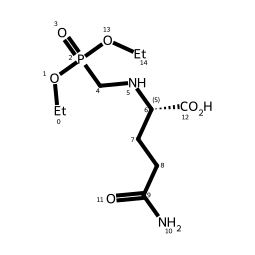 CCOP(=O)(CN[C@@H](CCC(N)=O)C(=O)O)OCC